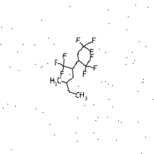 CCC(C)CC(C(CC(F)(F)F)C(F)(F)F)C(F)(F)F